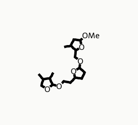 COC1CC(C)C(COC2CCC(CCOC3OCC(C)C3C)O2)O1